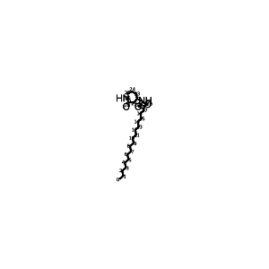 CCCCCCCCCCCCCCCCCCS(=O)(=O)N[C@H]1CCCNC(=O)C1